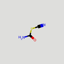 N#CSC(N)=O